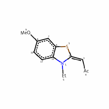 CCN1C(=CC(C)=O)Sc2cc(OC)ccc21